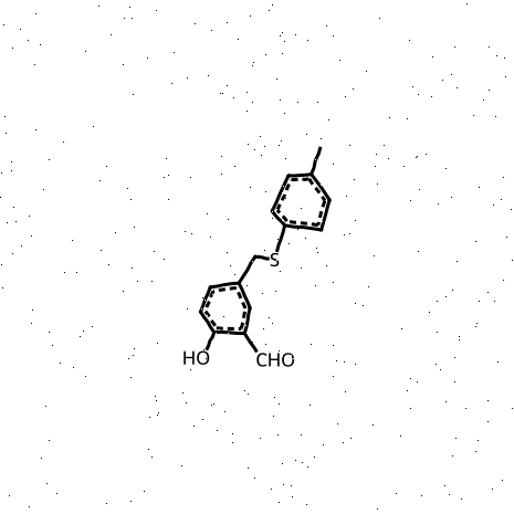 Cc1ccc(SCc2ccc(O)c(C=O)c2)cc1